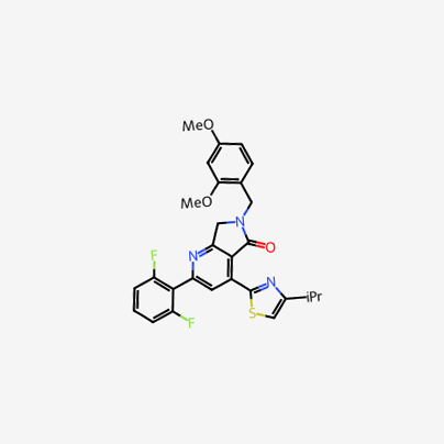 COc1ccc(CN2Cc3nc(-c4c(F)cccc4F)cc(-c4nc(C(C)C)cs4)c3C2=O)c(OC)c1